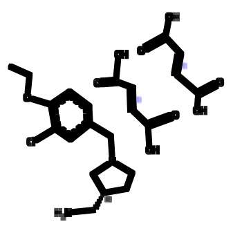 CCOc1ccc(CN2CC[C@H](CN)C2)cc1Cl.O=C(O)/C=C/C(=O)O.O=C(O)/C=C/C(=O)O